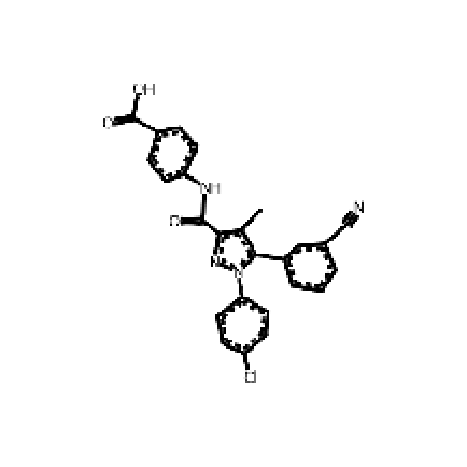 Cc1c(C(=O)Nc2ccc(C(=O)O)cc2)nn(-c2ccc(Cl)cc2)c1-c1cccc(C#N)c1